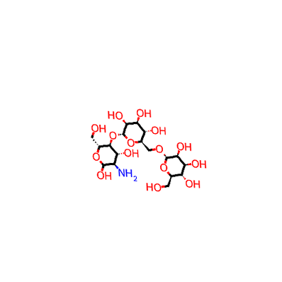 N[C@H]1C(O)O[C@H](CO)[C@@H](O[C@H]2O[C@H](CO[C@H]3O[C@H](CO)[C@@H](O)[C@H](O)[C@@H]3O)[C@@H](O)[C@H](O)[C@@H]2O)[C@@H]1O